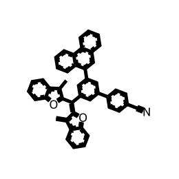 C=c1/c(=C(/c2cc(-c3ccc(C#N)cc3)cc(-c3cc4ccccc4c4ccccc34)c2)c2oc3ccccc3c2C)oc2ccccc12